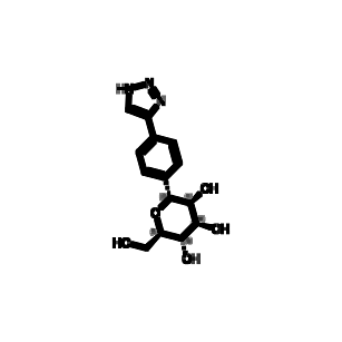 OC[C@H]1O[C@H](c2ccc(-c3c[nH]nn3)cc2)[C@@H](O)[C@@H](O)[C@@H]1O